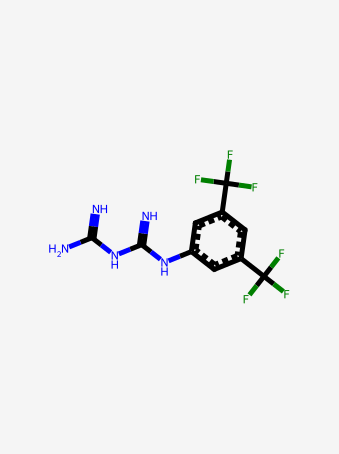 N=C(N)NC(=N)Nc1cc(C(F)(F)F)cc(C(F)(F)F)c1